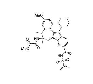 COC(=O)C(=O)NC1(C)Cn2c(c(C3CCCCC3)c3ccc(C(=O)NS(=O)(=O)N(C)C)cc32)-c2ccc(OC)cc2C1C